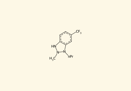 CCCN1c2cc(C(F)(F)F)ccc2NN1C